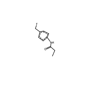 CCC(=O)Nc1ccc(CF)cc1